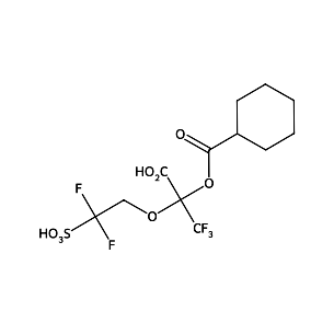 O=C(OC(OCC(F)(F)S(=O)(=O)O)(C(=O)O)C(F)(F)F)C1CCCCC1